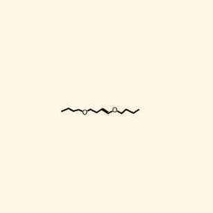 CCCCO/C=C/CCOCCCC